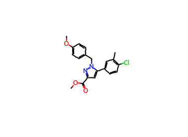 COC(=O)c1cc(-c2ccc(Cl)c(C)c2)n(Cc2ccc(OC)cc2)n1